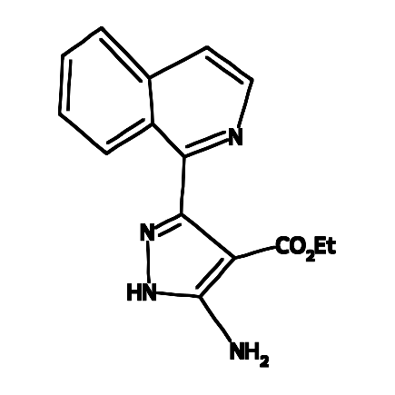 CCOC(=O)c1c(-c2nccc3ccccc23)n[nH]c1N